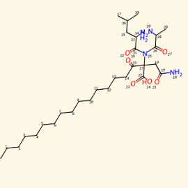 CCCCCCCCCCCCCCCC(=O)C(CC(N)=O)(C(=O)O)N(C(=O)C(C)N)C(=O)C(N)CC(C)C